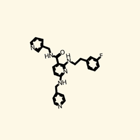 O=C(NCc1cccnc1)c1ccc(NCc2ccncc2)nc1NCCc1cccc(F)c1